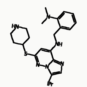 CC(C)c1cnc2c(NCc3ccccc3N(C)C)cc(SC3CCNCC3)nn12